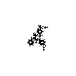 O=C(O)c1ccc(NC(=O)c2nc3ccccc3nc2Oc2ccc(OCF)cc2)cc1